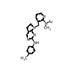 CC(=O)N(C)c1ncccc1Cn1ccc2cnc(Nc3ccc(C)cc3)nc21